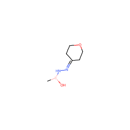 CB(O)NN=C1CCOCC1